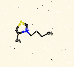 CCCC[n+]1cscc1C